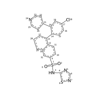 O=S(=O)(Nc1ncns1)c1ccc2c(-c3ccc(Cl)cc3-c3ccncc3)cccc2c1